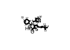 Cn1cc(CN(c2cc(C#CC(C)(C)C)sc2C(=O)O)C(=O)[C@H]2CC[C@H](C)CC2)cn1